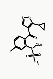 CON(c1cc(Cl)ccc1C(=O)c1cnoc1C1CC1)S(C)(=O)=O